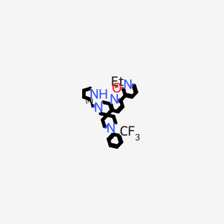 CCOc1ncccc1-c1ccc2c(n1)CN(C[C@H]1CCCN1)CC21CCN(c2ccccc2C(F)(F)F)CC1